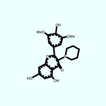 COc1cc(-c2oc3cc(O)cc(O)c3c(=O)c2N2CCCCC2)cc(OC)c1O